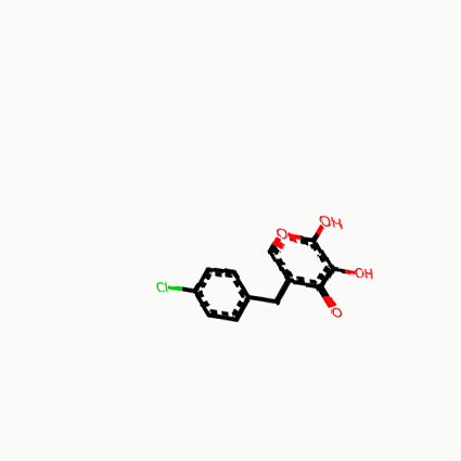 O=c1c(Cc2ccc(Cl)cc2)coc(O)c1O